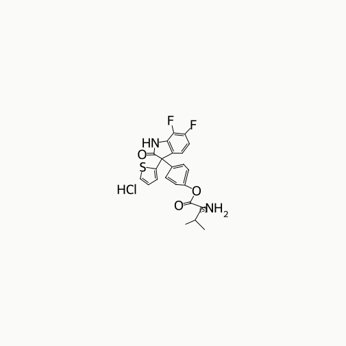 CC(C)[C@H](N)C(=O)Oc1ccc(C2(c3cccs3)C(=O)Nc3c2ccc(F)c3F)cc1.Cl